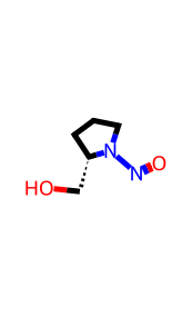 O=NN1CCC[C@H]1CO